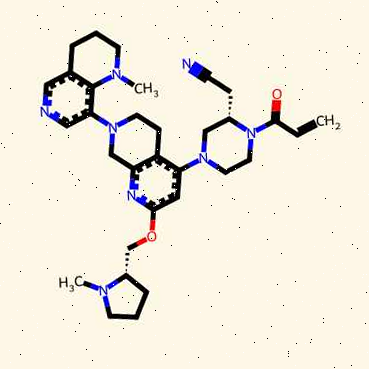 C=CC(=O)N1CCN(c2cc(OC[C@@H]3CCCN3C)nc3c2CCN(c2cncc4c2N(C)CCC4)C3)C[C@@H]1CC#N